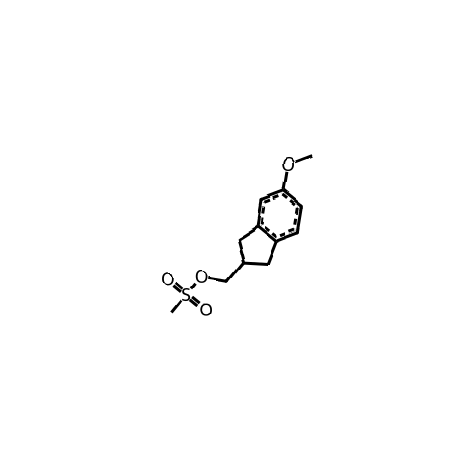 COc1ccc2c(c1)CC(COS(C)(=O)=O)C2